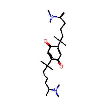 CC(CCCC(C)(C)C1=CC(=O)C(C(C)(C)CCCC(C)N(C)C)=CC1=O)N(C)C